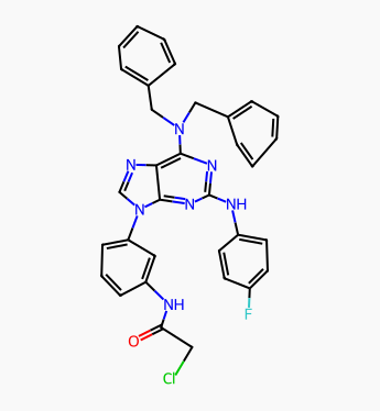 O=C(CCl)Nc1cccc(-n2cnc3c(N(Cc4ccccc4)Cc4ccccc4)nc(Nc4ccc(F)cc4)nc32)c1